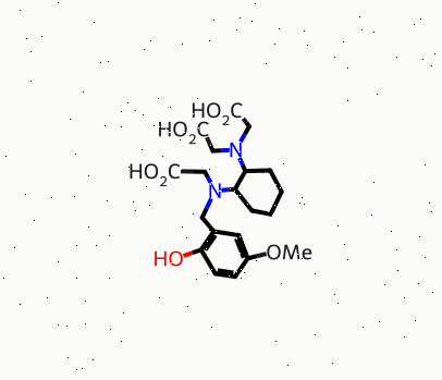 COc1ccc(O)c(CN(CC(=O)O)C2CCCCC2N(CC(=O)O)CC(=O)O)c1